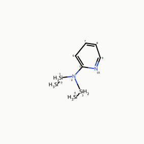 [SiH3][SiH2]N([SiH2][SiH3])c1ccccn1